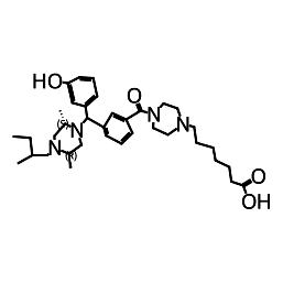 CCC(C)CN1C[C@H](C)N(C(c2cccc(O)c2)c2cccc(C(=O)N3CCN(CCCCCCC(=O)O)CC3)c2)C[C@H]1C